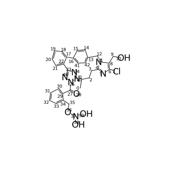 CCCCc1nc(Cl)c(CO)n1Cc1ccc(-c2ccccc2-c2nnn(C(=O)c3ccccc3CON(O)O)n2)cc1